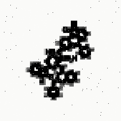 O=C(O)N1CCCC(n2c(=O)[nH]c3ccccc32)C[C@@H]1CCCN(Cc1ccccc1)Cc1ccccc1.O=C(c1ccccc1)c1cccc2[nH]c(=O)n(C3CCN(C(=O)O)CC3)c12